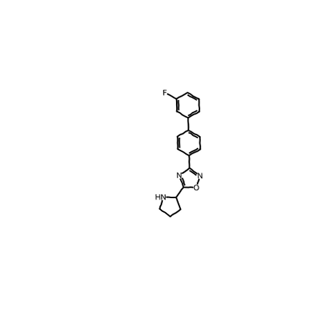 Fc1cccc(-c2ccc(-c3noc(C4CCCN4)n3)cc2)c1